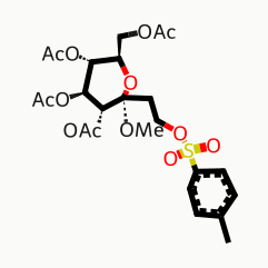 CO[C@@]1(CCOS(=O)(=O)c2ccc(C)cc2)O[C@H](COC(C)=O)[C@@H](OC(C)=O)[C@H](OC(C)=O)[C@H]1OC(C)=O